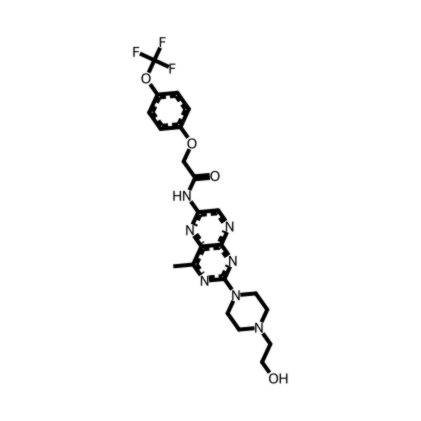 Cc1nc(N2CCN(CCO)CC2)nc2ncc(NC(=O)COc3ccc(OC(F)(F)F)cc3)nc12